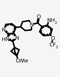 COC12CC(c3nc4c(C5CCN(C(=O)c6ccc(OC(F)(F)F)cc6N)CC5)ccnc4[nH]3)(C1)C2